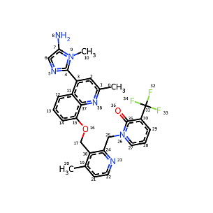 Cc1cc(-c2ncc(N)n2C)c2cccc(OCc3c(C)ccnc3Cn3cccc(C(F)(F)F)c3=O)c2n1